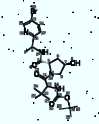 CC(NC(=O)[C@@H]1C[C@@H](O)CN1C(=O)C(NC(=O)OC(C)(C)C)C(C)(C)C)c1ccc(Br)cn1